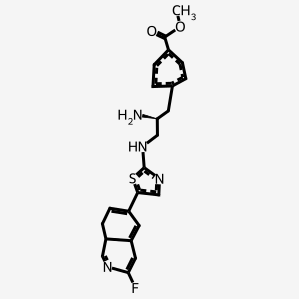 COC(=O)c1ccc(C[C@H](N)CNc2ncc(C3=CCC4C=NC(F)=CC4=C3)s2)cc1